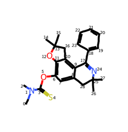 CN(C)C(=S)Oc1cc2c(c3c1OC(C)(C)C3)C(c1ccccc1)=NC(C)(C)C2